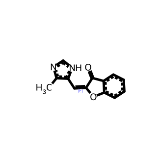 Cc1nc[nH]c1/C=C1/Oc2ccccc2C1=O